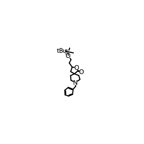 CC(C)(C)[Si](C)(C)OCCC1CC2(CCN(Cc3ccccc3)CC2)C(=O)O1